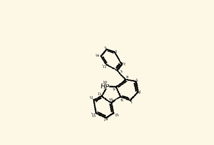 c1ccc(-c2cccc3c2[pH]c2ccccc23)cc1